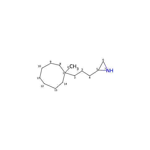 CC1(CCCC2CN2)CCCCCCC1